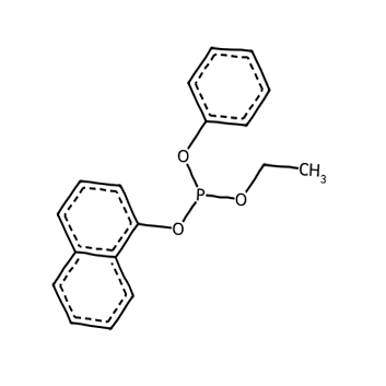 CCOP(Oc1ccccc1)Oc1cccc2ccccc12